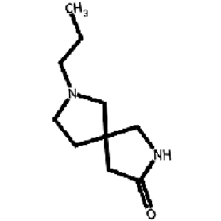 CCCN1CCC2(CNC(=O)C2)C1